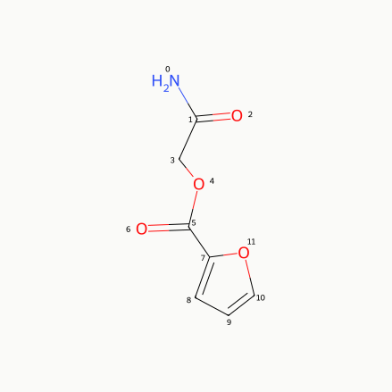 NC(=O)COC(=O)c1ccco1